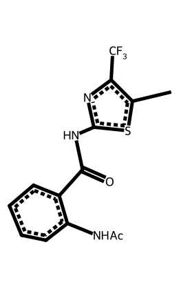 CC(=O)Nc1ccccc1C(=O)Nc1nc(C(F)(F)F)c(C)s1